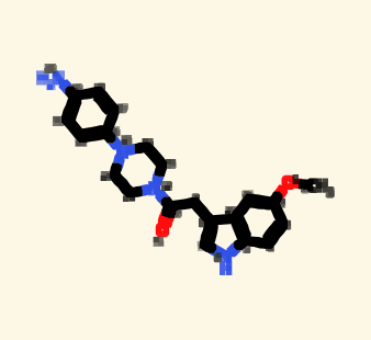 COc1ccc2[nH]cc(CC(=O)N3CCN(c4ccc(N)cc4)CC3)c2c1